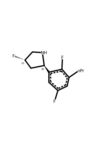 CCCc1cc(F)cc([C@H]2C[C@H](F)CN2)c1F